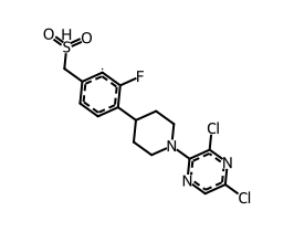 O=[SH](=O)Cc1[c]c(F)c(C2CCN(c3ncc(Cl)nc3Cl)CC2)cc1